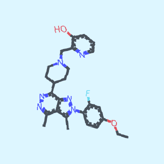 CCOc1ccc(-n2nc3c(C4CCN(Cc5ncccc5O)CC4)nnc(C)c3c2C)c(F)c1